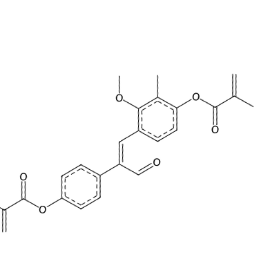 C=C(C)C(=O)Oc1ccc(/C(C=O)=C/c2ccc(OC(=O)C(=C)C)c(C)c2OC)cc1